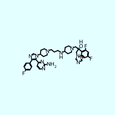 Nc1nccc(-c2c(-c3ccc(F)cc3)ncn2C2CCN(CCCNC3CCN(C[C@@](O)(Cn4cncn4)c4ccc(F)cc4F)CC3)CC2)n1